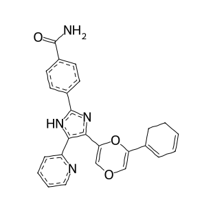 NC(=O)c1ccc(-c2nc(C3=COC=C(C4=CC=CCC4)O3)c(-c3ccccn3)[nH]2)cc1